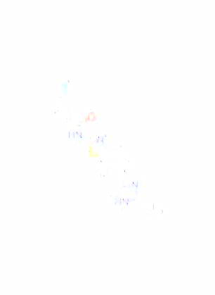 Cc1nc(-c2ccc3nc(NC(=O)C4CC4F)sc3c2)c[nH]1